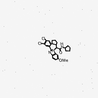 COc1ccc2nc(-c3ccc(Cl)c(Cl)c3)n(C(C(=O)NC3CCCC3)C3CCCC3)c2c1